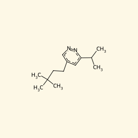 CC(C)c1cc(CCC(C)(C)C)cnn1